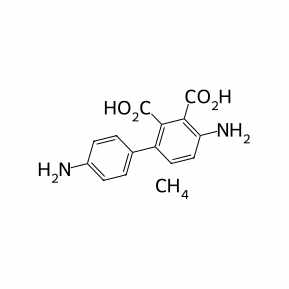 C.Nc1ccc(-c2ccc(N)c(C(=O)O)c2C(=O)O)cc1